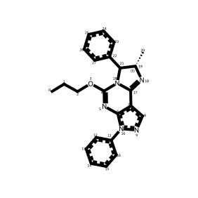 CCCOC1=Nc2c(cnn2-c2ccccc2)C2=N[C@@H](C)C(c3ccccc3)N12